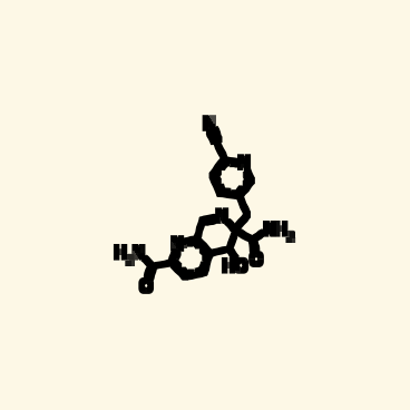 N#Cc1ccc(CC2(C(N)=O)N=Cc3nc(C(N)=O)ccc3C2O)cn1